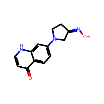 O=c1cc[nH]c2cc(N3CCC(=NO)C3)ccc12